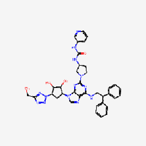 O=C(Nc1cccnc1)NC1CCN(c2nc(NCC(c3ccccc3)c3ccccc3)c3ncn(C4CC(n5nnc(CO)n5)C(O)C4O)c3n2)C1